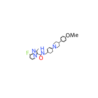 COc1ccc(C2CCN(C3=CC=C(CNC(=O)c4c(C)nc5c(F)cccn45)CC3)CC2)cc1